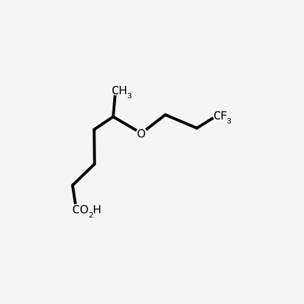 CC(CCCC(=O)O)OCCC(F)(F)F